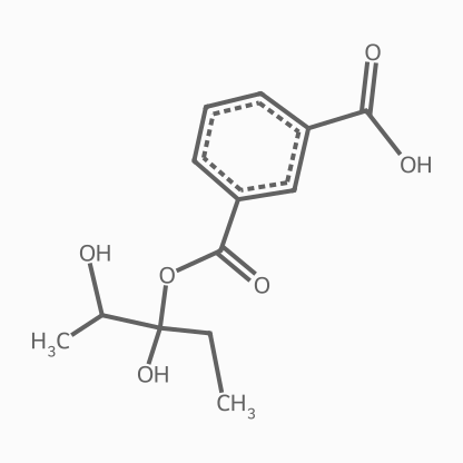 CCC(O)(OC(=O)c1cccc(C(=O)O)c1)C(C)O